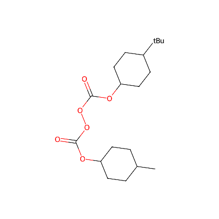 CC1CCC(OC(=O)OOC(=O)OC2CCC(C(C)(C)C)CC2)CC1